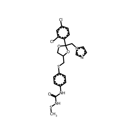 CSNC(=O)Nc1ccc(SCC2COC(Cn3ccnc3)(c3ccc(Cl)cc3Cl)O2)cc1